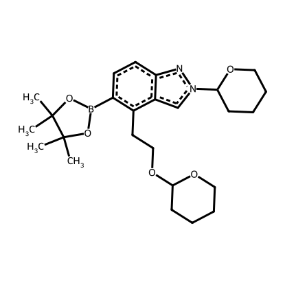 CC1(C)OB(c2ccc3nn(C4CCCCO4)cc3c2CCOC2CCCCO2)OC1(C)C